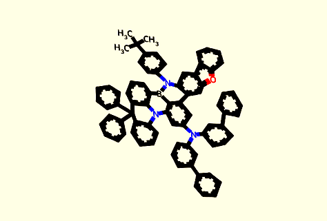 CC(C)(C)c1ccc(N2B3c4cccc5c4N(c4ccccc4C5(c4ccccc4)c4ccccc4)c4cc(N(c5cccc(-c6ccccc6)c5)c5cccc(-c6ccccc6)c5)cc(c43)-c3cc4oc5ccccc5c4cc32)cc1